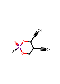 C#CC1COP(C)(=O)OC1C#C